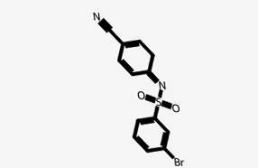 N#CC1=CCC(=NS(=O)(=O)c2cccc(Br)c2)C=C1